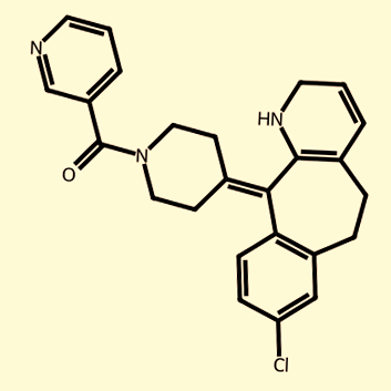 O=C(c1cccnc1)N1CCC(=C2C3=C(C=CCN3)CCc3cc(Cl)ccc32)CC1